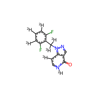 [2H]c1c([2H])c(F)c(C([2H])([2H])n2ncc3c(=O)n([2H])cc([2H])c32)c(F)c1[2H]